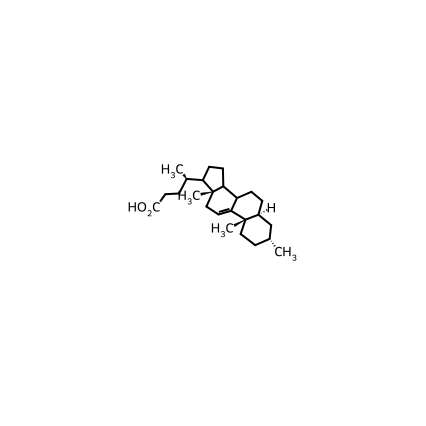 C[C@@H]1CC[C@]2(C)C3=CC[C@@]4(C)C(CCC4[C@H](C)CCC(=O)O)C3CC[C@H]2C1